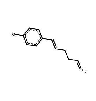 C=CCC/C=C/c1ccc(O)cc1